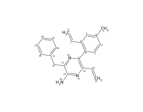 C=Cc1cc(C)ccc1-c1nc(Cc2ccccc2)c(N)nc1C=C